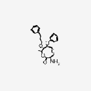 C[C@@H]1OC(=O)[C@@H](N)CCC[C@H](Oc2ccccc2)[C@H]1OCCCc1ccccc1